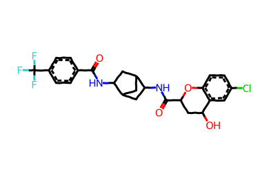 O=C(NC1CC2CC1CC2NC(=O)C1CC(O)c2cc(Cl)ccc2O1)c1ccc(C(F)(F)F)cc1